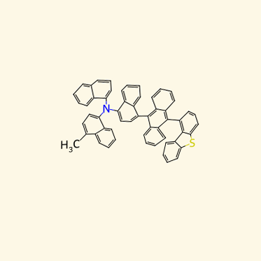 Cc1ccc(N(c2cccc3ccccc23)c2ccc(-c3c4ccccc4c(-c4cccc5sc6ccccc6c45)c4ccccc34)c3ccccc23)c2ccccc12